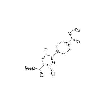 COC(=O)c1cc(F)c(N2CCN(C(=O)OC(C)(C)C)CC2)nc1Cl